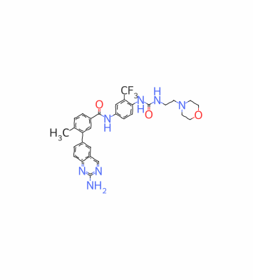 Cc1ccc(C(=O)Nc2ccc(NC(=O)NCCN3CCOCC3)c(C(F)(F)F)c2)cc1-c1ccc2nc(N)ncc2c1